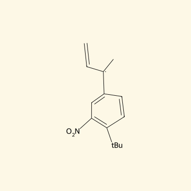 C=C[C](C)c1ccc(C(C)(C)C)c([N+](=O)[O-])c1